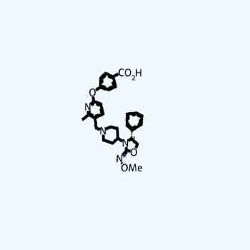 CO/N=C1\OC[C@@H](c2ccccc2)N1C1CCN(Cc2ccc(Oc3ccc(C(=O)O)cc3)nc2C)CC1